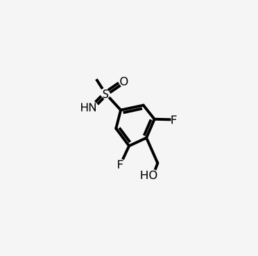 CS(=N)(=O)c1cc(F)c(CO)c(F)c1